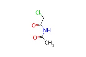 CC(=O)NC(=O)CCl